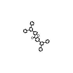 O=c1c2ccc(-c3cc(-c4ccccc4)cc(-c4ccccc4)c3)cc2oc2ccc(-c3cc(-c4ccccc4)cc(-c4ccccc4)c3)cc12